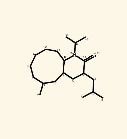 CC(C)CC1CC2CC(C)CCCCCC2N(C(C)C)C1=S